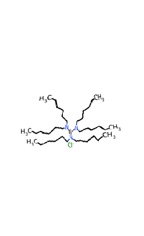 CCCCCC[N](CCCCCC)[Ti+]([N](CCCCCC)CCCCCC)[N](CCCCCC)CCCCCC.[Cl-]